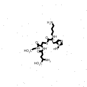 CCCn1cncc1C[C@H](NCCCCN)C(=O)SCC(NC(=O)CCC(N)C(=O)O)C(=O)NCC(=O)O